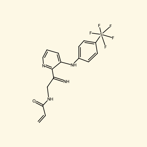 C=CC(=O)NCC(=N)c1ncccc1Nc1ccc(S(F)(F)(F)(F)F)cc1